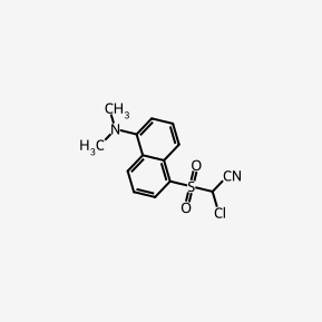 CN(C)c1cccc2c(S(=O)(=O)C(Cl)C#N)cccc12